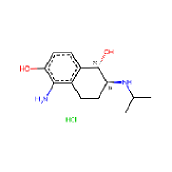 CC(C)N[C@H]1CCc2c(ccc(O)c2N)[C@@H]1O.Cl